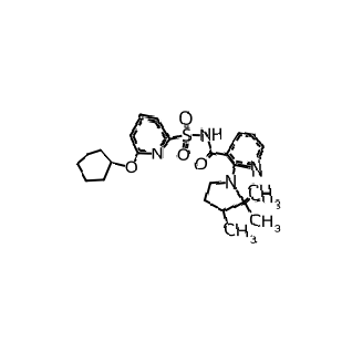 CC1CCN(c2ncccc2C(=O)NS(=O)(=O)c2cccc(OC3CCCCC3)n2)C1(C)C